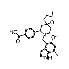 COc1cc(C)c2[nH]ccc2c1CN1CCC2(CCC(C)(C)O2)CC1c1ccc(C(=O)O)cc1